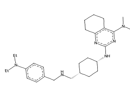 CCN(CC)c1ccc(CNC[C@H]2CC[C@@H](Nc3nc4c(c(N(C)C)n3)CCCC4)CC2)cc1